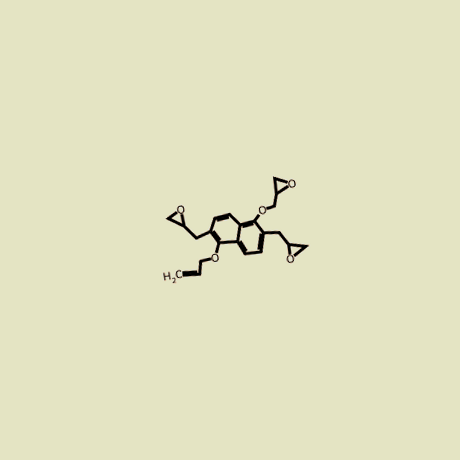 C=CCOc1c(CC2CO2)ccc2c(OCC3CO3)c(CC3CO3)ccc12